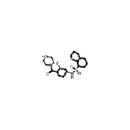 O=C(c1ccc(NS(=O)(=O)c2cccc3cccnc23)cc1F)N1CCNCC1